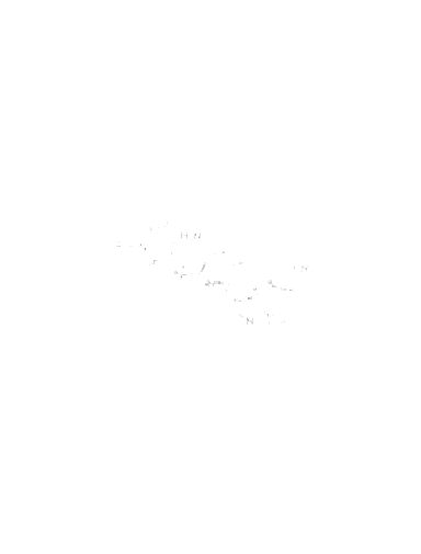 CC(=O)N1CCCC(Nc2nc(-c3cnn4ccc(C#N)cc34)ccc2N)C1